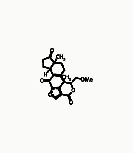 COC[C@H]1OC(=O)c2coc3c2C1(C)C1=C(C3=O)[C@@H]2CCC(=O)C2(C)CC1